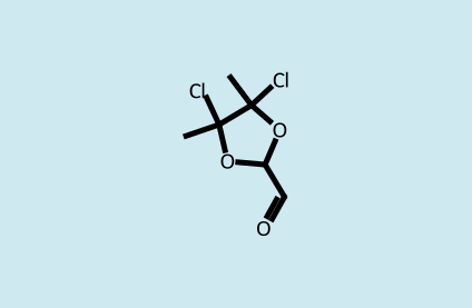 CC1(Cl)OC(C=O)OC1(C)Cl